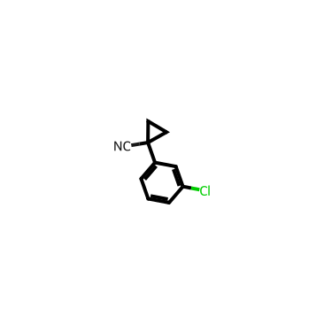 N#CC1(c2cccc(Cl)c2)CC1